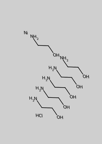 Cl.NCCO.NCCO.NCCO.NCCO.NCCO.NCCO.[Ni]